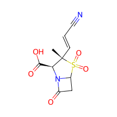 C[C@]1(C=CC#N)[C@H](C(=O)O)N2C(=O)CC2S1(=O)=O